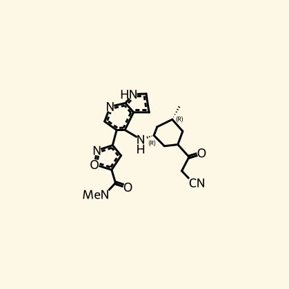 CNC(=O)c1cc(-c2cnc3[nH]ccc3c2N[C@H]2CC(C(=O)CC#N)C[C@@H](C)C2)no1